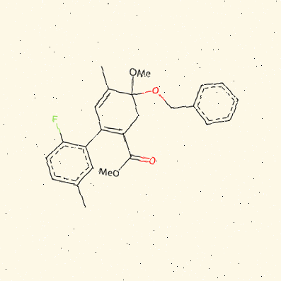 COC(=O)C1=C(c2cc(C)ccc2F)C=C(C)C(OC)(OCc2ccccc2)C1